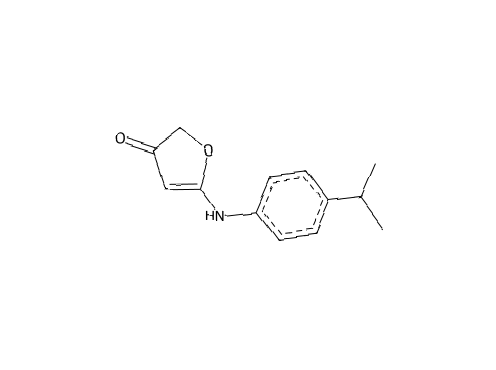 CC(C)c1ccc(NC2=CC(=O)CO2)cc1